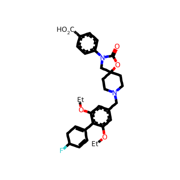 CCOc1cc(CN2CCC3(CC2)CN(c2ccc(C(=O)O)cc2)C(=O)O3)cc(OCC)c1C1=CCC(F)C=C1